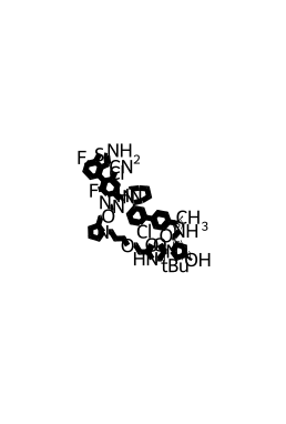 C[C@H](NC(=O)[C@@H]1C[C@@H](O)CN1C(=O)[C@@H](NC(=O)CCOCCCN1CCCC1COc1nc(N2CC3CCC(C2)N3)c2cc(Cl)c(-c3ccc(F)c4sc(N)c(C#N)c34)c(F)c2n1)C(C)(C)C)c1ccc(-c2ccccc2Cl)cc1